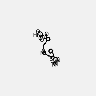 Cc1nnc2n1-c1sc(C#Cc3cnn(CCCC#Cc4cccc5c4C(=O)N(C4CCC(=O)NC4=O)C5=O)c3)c(Cc3ccccc3)c1CO[C@H]2C